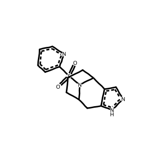 O=S(=O)(c1ccccn1)N1C2CCCC1c1cn[nH]c1C2